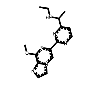 CCNC(C)c1ccnc(-c2cn3ccnc3c(OC)n2)n1